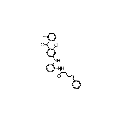 Cc1ccccc1C(=O)c1ccc(Nc2ccccc2NC(=O)CCOc2ccccc2)cc1Cl